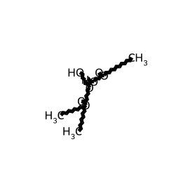 CCCCCCCCCCCOC(=O)CCOC1CN(CCO)CC1OCCCCC(=O)OC(CCCCCCCC)CCCCCCCC